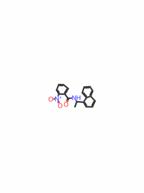 CC(NC(=O)c1ccccc1[N+](=O)[O-])c1cccc2ccccc12